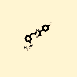 COc1cccc(Cc2nc(-c3ccc(F)cc3)cs2)c1